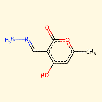 Cc1cc(O)c(C=NN)c(=O)o1